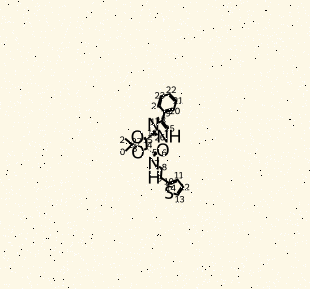 CC1(C)O[C@@H](C(=O)NCCc2cccs2)[C@H](c2nc(-c3ccccc3)c[nH]2)O1